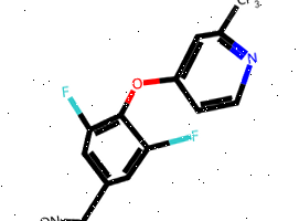 O=NCc1cc(F)c(Oc2ccnc(C(F)(F)F)c2)c(F)c1